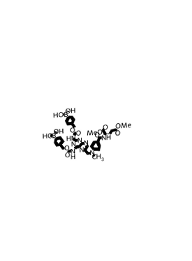 COC(=O)CC[C@H](NC(=O)c1ccc(N(C)Cc2cnc3nc(NC(=O)OCc4ccc(B(O)O)cc4)nc(NC(=O)OCc4ccc(B(O)O)cc4)c3n2)cc1)C(=O)OC